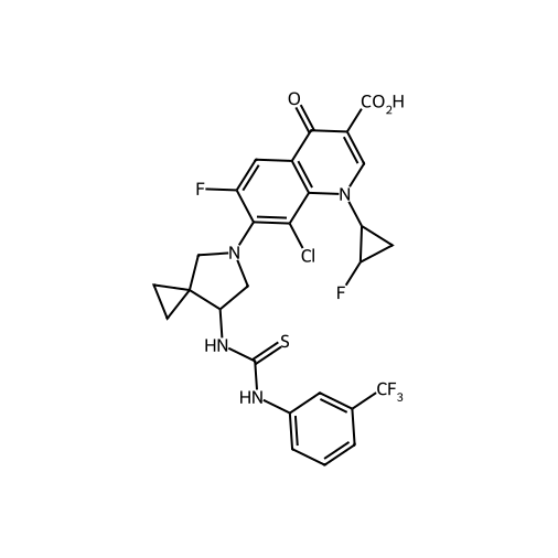 O=C(O)c1cn(C2CC2F)c2c(Cl)c(N3CC(NC(=S)Nc4cccc(C(F)(F)F)c4)C4(CC4)C3)c(F)cc2c1=O